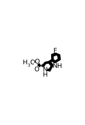 COC(=O)[C@H]1Cc2c([nH]c3ccc(F)cc23)CN1